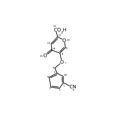 N#Cc1cccc(COc2coc(C(=O)O)cc2=O)c1